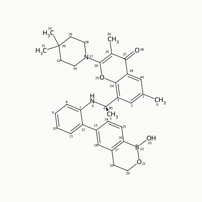 Cc1cc([C@@H](C)Nc2ccccc2-c2ccc3c(c2)CCOB3O)c2oc(N3CCC(C)(C)CC3)c(C)c(=O)c2c1